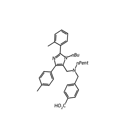 CCCCCN(Cc1ccc(C(=O)O)cc1)Cc1c(-c2ccc(C)cc2)nc(-c2ccccc2C)n1CCCC